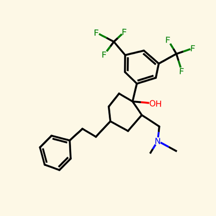 CN(C)CC1CC(CCc2ccccc2)CCC1(O)c1cc(C(F)(F)F)cc(C(F)(F)F)c1